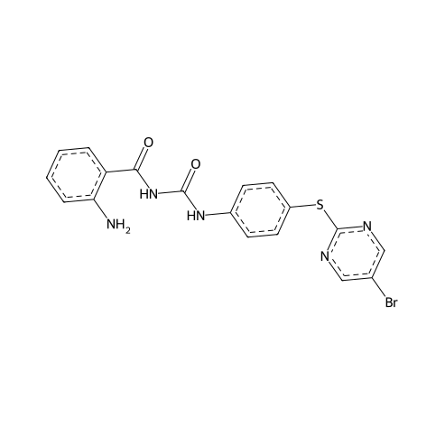 Nc1ccccc1C(=O)NC(=O)Nc1ccc(Sc2ncc(Br)cn2)cc1